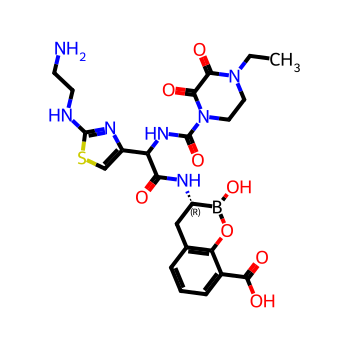 CCN1CCN(C(=O)NC(C(=O)N[C@H]2Cc3cccc(C(=O)O)c3OB2O)c2csc(NCCN)n2)C(=O)C1=O